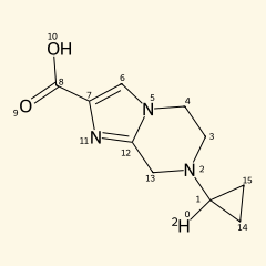 [2H]C1(N2CCn3cc(C(=O)O)nc3C2)CC1